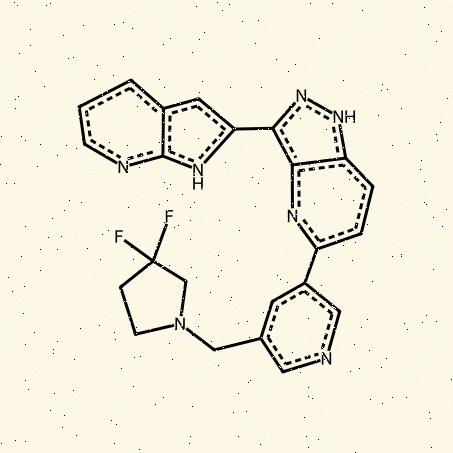 FC1(F)CCN(Cc2cncc(-c3ccc4[nH]nc(-c5cc6cccnc6[nH]5)c4n3)c2)C1